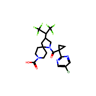 O=C(O)N1CCC2(CC1)CC(C(C(F)(F)F)C(F)(F)F)CN2C(=O)C1(c2ncc(Cl)cn2)CC1